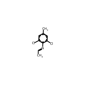 CC=Nc1c(Cl)cc(C)cc1Cl